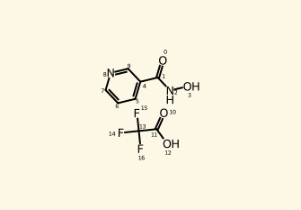 O=C(NO)c1cccnc1.O=C(O)C(F)(F)F